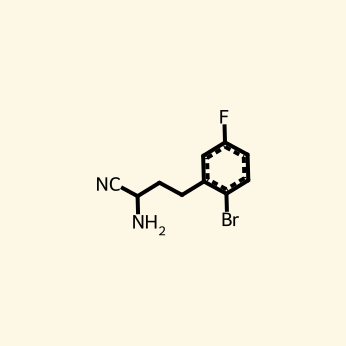 N#CC(N)CCc1cc(F)ccc1Br